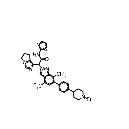 CCN1CCC(c2ccc(-c3cc(C(F)(F)F)c4cn(C(C(=O)Nc5nccs5)c5ncn6c5CCC6)nc4c3C)cc2)CC1